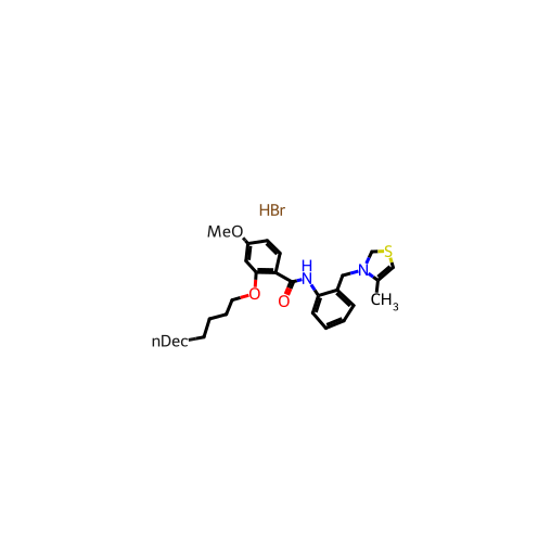 Br.CCCCCCCCCCCCCCOc1cc(OC)ccc1C(=O)Nc1ccccc1CN1CSC=C1C